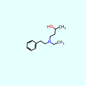 CCN(CCc1ccccc1)CCC(C)O